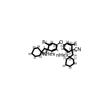 CCCCCCC1(C[C@]2(C#N)C=C[C@H](O[C@H]3C=C[C@@](C#N)(CC4(CCCCCC)CCCCC4)C(F)=C3)C=C2F)CCCCC1